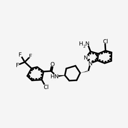 Nc1nn(C[C@H]2CC[C@H](NC(=O)c3cc(C(F)(F)F)ccc3Cl)CC2)c2cccc(Cl)c12